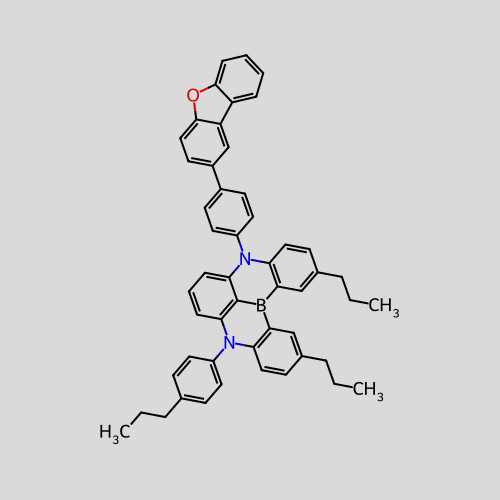 CCCc1ccc(N2c3ccc(CCC)cc3B3c4cc(CCC)ccc4N(c4ccc(-c5ccc6oc7ccccc7c6c5)cc4)c4cccc2c43)cc1